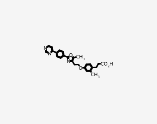 Cc1cc(OCCc2nc(-c3ccc(-c4ccncn4)cc3)oc2C)ccc1CCC(=O)O